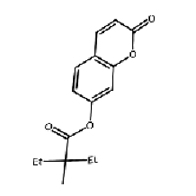 CCC(C)(CC)C(=O)Oc1ccc2ccc(=O)oc2c1